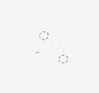 CC(C)(C)OC(=O)NCc1cc([N+](=O)[O-])ccc1N1CCN(Cc2ccccc2)CC1